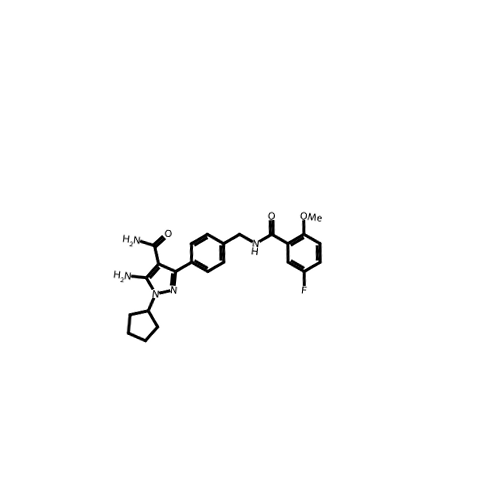 COc1ccc(F)cc1C(=O)NCc1ccc(-c2nn(C3CCCC3)c(N)c2C(N)=O)cc1